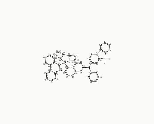 CC1(C)c2ccccc2-c2ccc(N(c3ccccc3)c3ccc4c5c(ccc4c3)-c3c(c4ccccc4c4ccccc34)C53c4ccccc4-c4ccccc43)cc21